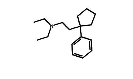 CCN(CC)CCC1(c2ccccc2)CCCC1